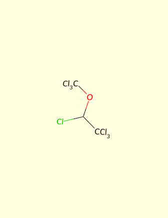 ClC(OC(Cl)(Cl)Cl)C(Cl)(Cl)Cl